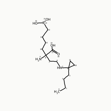 CCCCC1(NCCC(N)(CCCCB(O)O)C(=O)O)CC1